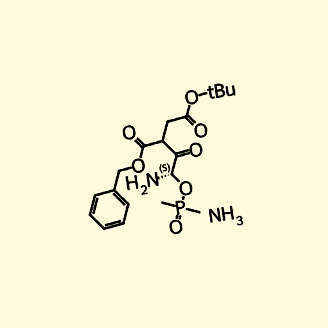 CC(C)(C)OC(=O)CC(C(=O)OCc1ccccc1)C(=O)[C@@H](N)OP(C)(C)=O.N